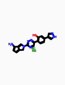 Cl.Cl.NC1=CC=C2CN(c3ncc(-c4ccc(-c5cn[nH]c5)cc4O)nn3)C=C12